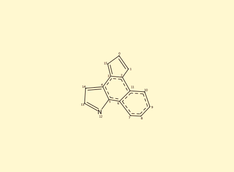 C1=Cc2c(c3c(c4ccccc24)N=CC=3)=C1